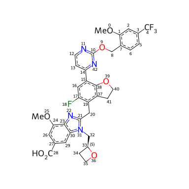 COc1cc(C(F)(F)F)ccc1COc1nccc(-c2cc(F)c(Cc3nc4c(OC)cc(C(=O)O)cc4n3C[C@@H]3CCO3)c3c2OCC3)n1